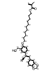 C=C(C)C(=O)OCCCCCCCCCCCOc1ccc(/C(C#N)=C/c2ccc3c(c2)OCO3)cc1CO